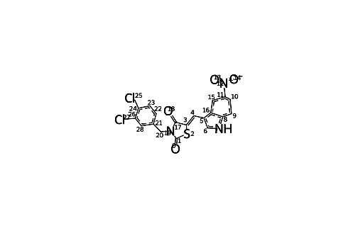 O=C1SC(=Cc2c[nH]c3ccc([N+](=O)[O-])cc23)C(=O)N1Cc1ccc(Cl)c(Cl)c1